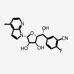 Cc1ccnc2c1ccn2[C@@H]1O[C@H]([C@H](O)c2ccc(F)c(C#N)c2)[C@@H](O)[C@H]1O